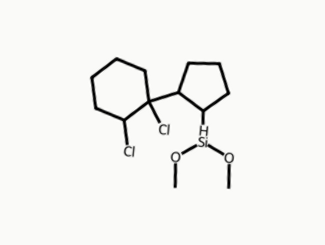 CO[SiH](OC)C1CCCC1C1(Cl)CCCCC1Cl